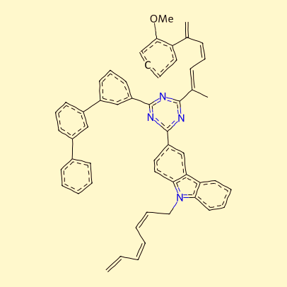 C=C/C=C\C=C/Cn1c2ccccc2c2cc(-c3nc(/C(C)=C/C=C\C(=C)c4ccccc4OC)nc(-c4cccc(-c5cccc(-c6ccccc6)c5)c4)n3)ccc21